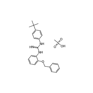 CC(C)(C)c1ccc(NC(=N)Nc2ccccc2OCc2ccccc2)cc1.CS(=O)(=O)O